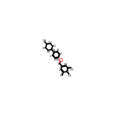 CC1=CC(COc2ccc(C3CCC(C)CC3)cc2)=CC(C)C1C